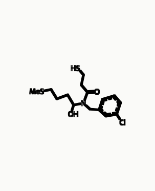 CSCCCC(O)N(Cc1cccc(Cl)c1)C(=O)CCS